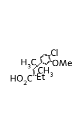 CC/C(=C\C(C)(C)c1ccc(Cl)c(OC)c1)C(=O)O